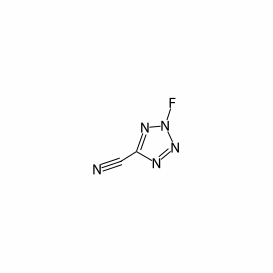 N#Cc1nnn(F)n1